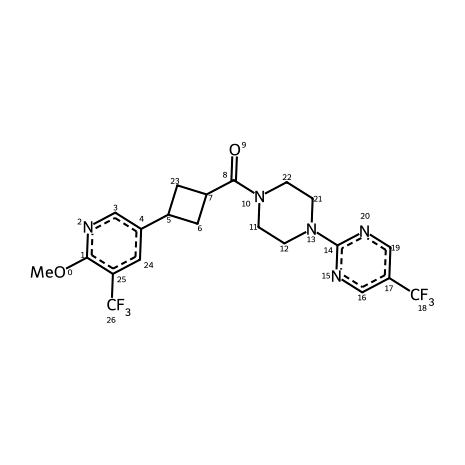 COc1ncc(C2CC(C(=O)N3CCN(c4ncc(C(F)(F)F)cn4)CC3)C2)cc1C(F)(F)F